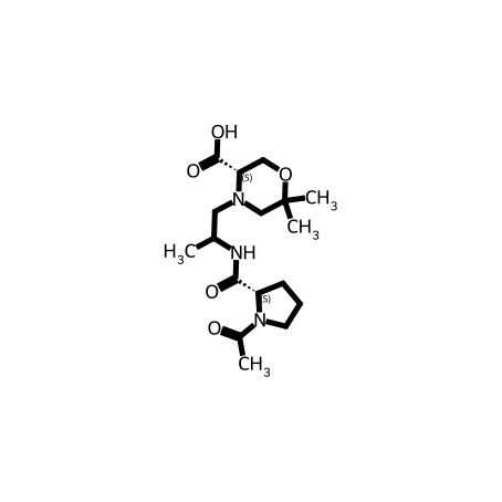 CC(=O)N1CCC[C@H]1C(=O)NC(C)CN1CC(C)(C)OC[C@H]1C(=O)O